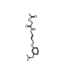 CC(=O)OCC(=O)NCC=CCOc1cccc(CN(C)C)c1